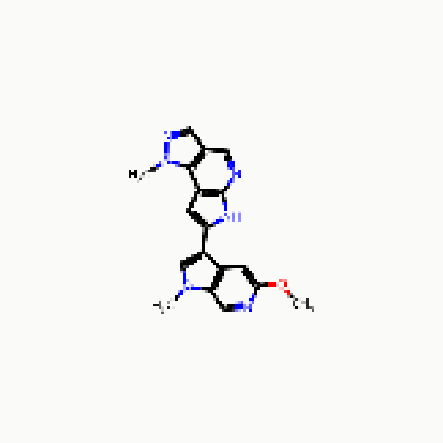 COc1cc2c(-c3cc4c(ncc5cnn(C)c54)[nH]3)cn(C)c2cn1